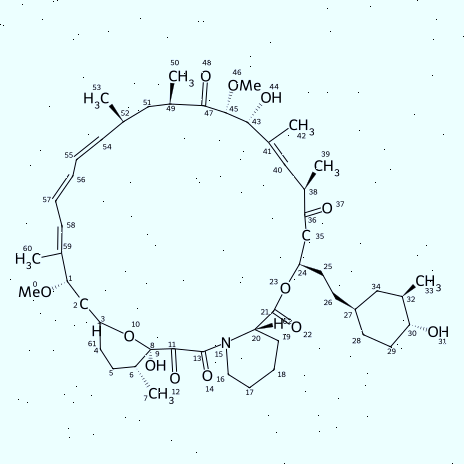 CO[C@H]1C[C@@H]2CC[C@@H](C)[C@@](O)(O2)C(=O)C(=O)N2CCCC[C@H]2C(=O)O[C@H](CC[C@@H]2CC[C@@H](O)[C@H](C)C2)CC(=O)[C@H](C)/C=C(\C)[C@@H](O)[C@@H](OC)C(=O)[C@H](C)C[C@H](C)/C=C/C=C/C=C/1C